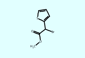 COC(=O)C(Br)c1cccs1